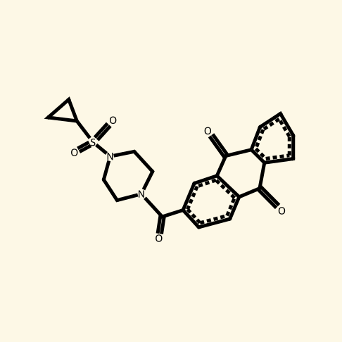 O=C1c2ccccc2C(=O)c2cc(C(=O)N3CCN(S(=O)(=O)C4CC4)CC3)ccc21